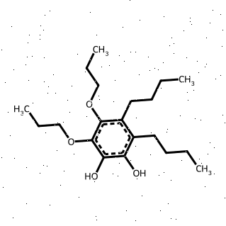 CCCCc1c(O)c(O)c(OCCC)c(OCCC)c1CCCC